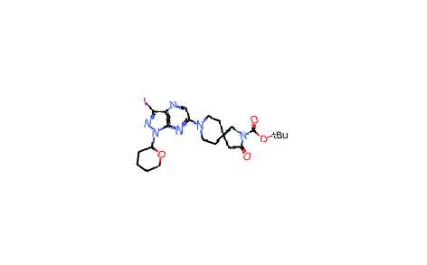 CC(C)(C)OC(=O)N1CC2(CCN(c3cnc4c(I)nn(C5CCCCO5)c4n3)CC2)CC1=O